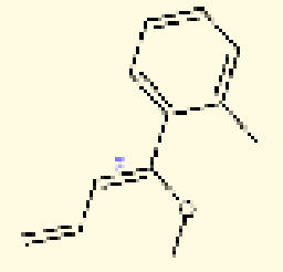 C=C/C=C(\OC)c1ccccc1C